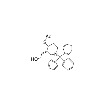 CC(=O)SC1CCN(C(c2ccccc2)(c2ccccc2)c2ccccc2)CC1=CCO